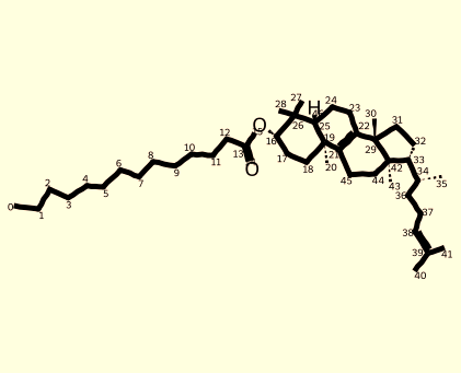 CCCCCCCCCCCCCC(=O)O[C@H]1CC[C@]2(C)C3=C(CC[C@H]2C1(C)C)[C@]1(C)CC[C@H]([C@H](C)CCC=C(C)C)[C@@]1(C)CC3